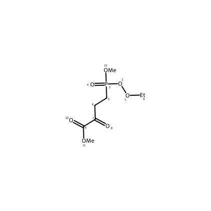 CCOOP(=O)(CCC(=O)C(=O)OC)OC